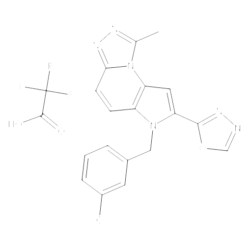 Cc1nnc2ccc3c(cc(-c4nnco4)n3Cc3cccc(Cl)c3)n12.O=C(O)C(F)(F)F